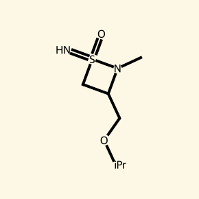 CC(C)OCC1CS(=N)(=O)N1C